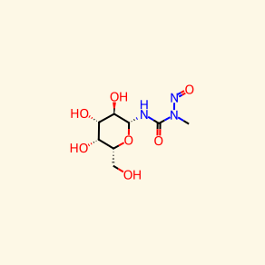 CN(N=O)C(=O)N[C@@H]1O[C@H](CO)[C@H](O)[C@H](O)[C@H]1O